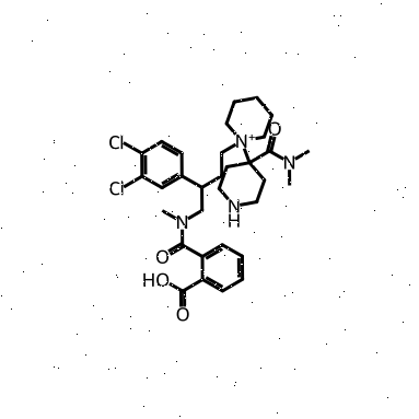 CN(C)C(=O)C1([N+]2(CCC(CN(C)C(=O)c3ccccc3C(=O)O)c3ccc(Cl)c(Cl)c3)CCCCC2)CCNCC1